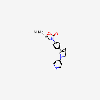 CC(=O)NC[C@H]1CN(c2ccc(C34CC3CN(c3ccncc3)C4)cc2)C(=O)O1